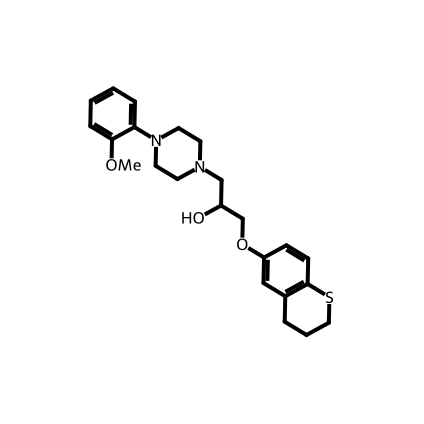 COc1ccccc1N1CCN(CC(O)COc2ccc3c(c2)CCCS3)CC1